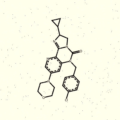 O=C1N2CC(C3CC3)N=C2c2ncc(N3CCOCC3)cc2N1Cc1ccc(Cl)cc1